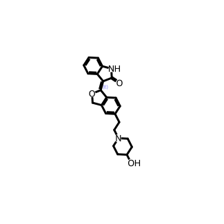 O=C1Nc2ccccc2/C1=C1\OCc2cc(CCN3CCC(O)CC3)ccc21